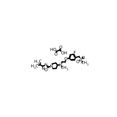 CC(C)c1noc(N2CCC(N(C)CCOc3ccc(CS(C)(=O)=O)c(F)c3)CC2)n1.O=C(O)C(=O)O